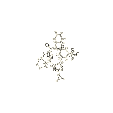 O=C(NC[C@@H]1CCCCN1C(=O)c1nc(C2CC2)sc1-c1cccc(C(F)(F)F)c1)c1noc2ccccc12